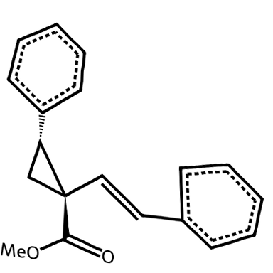 COC(=O)[C@@]1(/C=C/c2ccccc2)C[C@@H]1c1ccccc1